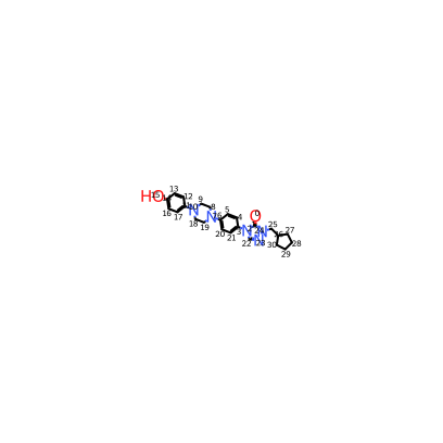 O=c1n(-c2ccc(N3CCN(c4ccc(O)cc4)CC3)cc2)cnn1CC1CCCC1